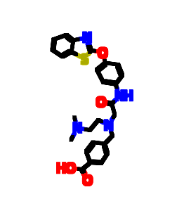 CN(C)CCN(CC(=O)Nc1ccc(Oc2nc3ccccc3s2)cc1)Cc1ccc(C(=O)O)cc1